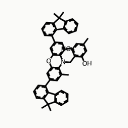 Cc1cc(O)c(CN2c3c(C)cc(-c4cccc5c4-c4ccccc4C5(C)C)cc3Oc3cc(-c4cccc5c4-c4ccccc4C5(C)C)cc(C)c32)c(O)c1